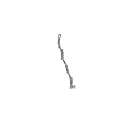 B=B/B=B\B=B/B=O